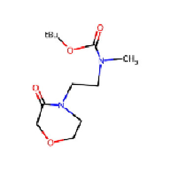 CN(CCN1CCOCC1=O)C(=O)OC(C)(C)C